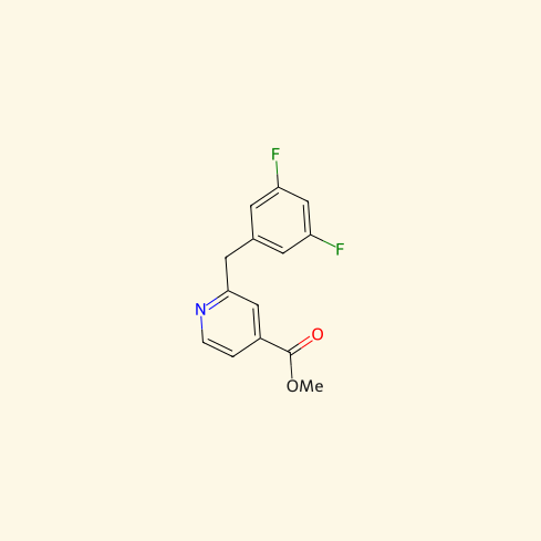 COC(=O)c1ccnc(Cc2cc(F)cc(F)c2)c1